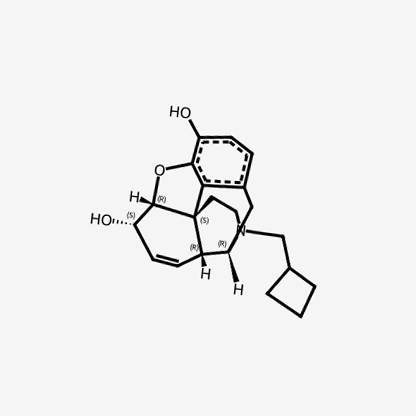 Oc1ccc2c3c1O[C@H]1[C@@H](O)C=C[C@H]4[C@@H](C2)N(CC2CCC2)CC[C@@]341